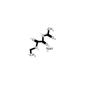 CCOC(=O)C(=O)OC(C)=O.[NaH]